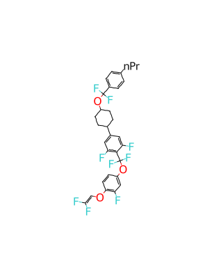 CCCc1ccc(C(F)(F)OC2CCC(c3cc(F)c(C(F)(F)Oc4ccc(OC=C(F)F)c(F)c4)c(F)c3)CC2)cc1